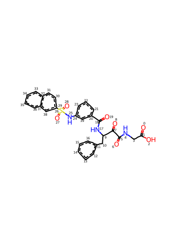 O=C(O)CNC(=O)C(=O)C(Cc1ccccc1)NC(=O)c1cccc(NS(=O)(=O)c2ccc3ccccc3c2)c1